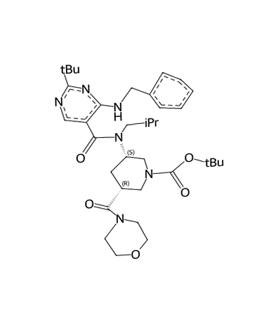 CC(C)CN(C(=O)c1cnc(C(C)(C)C)nc1NCc1ccccc1)[C@H]1C[C@@H](C(=O)N2CCOCC2)CN(C(=O)OC(C)(C)C)C1